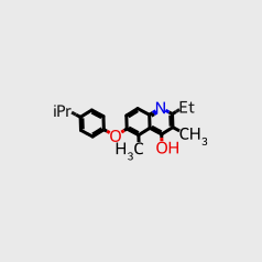 CCc1nc2ccc(Oc3ccc(C(C)C)cc3)c(C)c2c(O)c1C